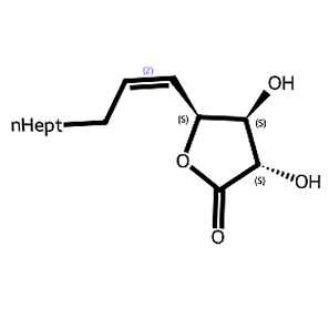 CCCCCCCC/C=C\[C@@H]1OC(=O)[C@@H](O)[C@@H]1O